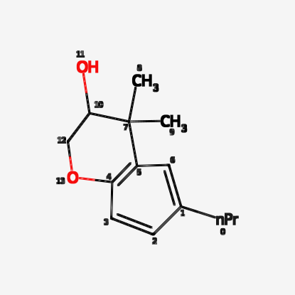 CCCc1ccc2c(c1)C(C)(C)C(O)CO2